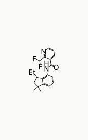 CCC1CC(C)(C)c2cccc(NC(=O)c3cccnc3C(F)F)c21